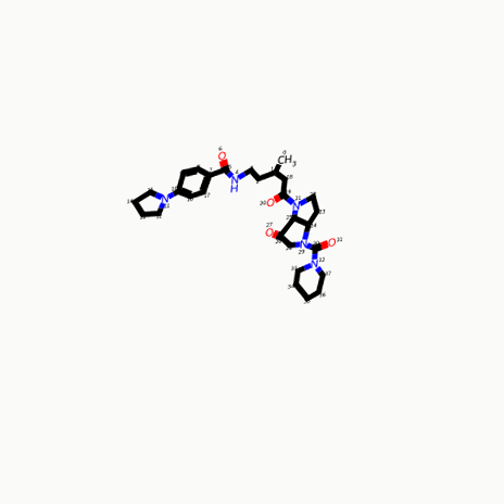 CC(CCNC(=O)c1ccc(N2CCCC2)cc1)CC(=O)N1CCC2C1C(=O)CN2C(=O)N1CCCCC1